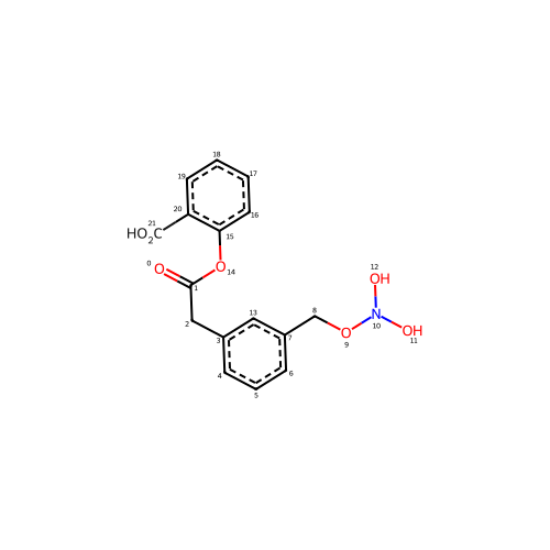 O=C(Cc1cccc(CON(O)O)c1)Oc1ccccc1C(=O)O